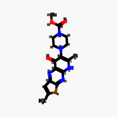 CCc1[nH]c2nc3sc(C)cc3nc2c(=O)c1N1CCN(C(=O)OC(C)(C)C)CC1